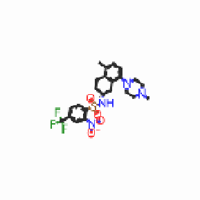 Cc1ccc(N2CCN(C)CC2)c2c1CC[C@@H](NS(=O)(=O)c1ccc(C(F)(F)F)cc1[N+](=O)[O-])C2